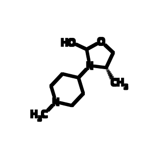 C[C@H]1COC(O)N1C1CCN(C)CC1